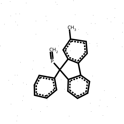 C=PC1(c2ccccc2)c2ccccc2-c2ccc(C)cc21